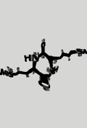 CSCCC1NC(=O)C(CCSC)NC1=O